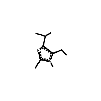 CCc1c(C(C)C)nc(C)n1C